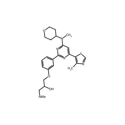 CNCC(O)COc1cccc(-c2nc(-c3scnc3C)cc(N(C)C3CCOCC3)n2)c1